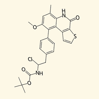 COc1cc(C)c2[nH]c(=O)c3sccc3c2c1-c1ccc(CC(Cl)NC(=O)OC(C)(C)C)cc1